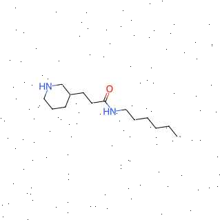 [CH2]CCCCCNC(=O)CCC1CCCNC1